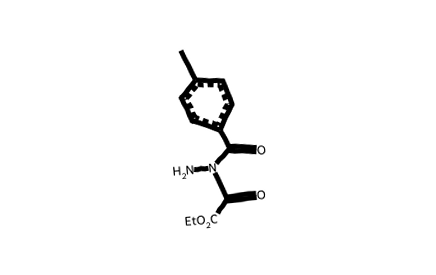 CCOC(=O)C(=O)N(N)C(=O)c1ccc(C)cc1